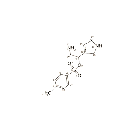 Cc1ccc(S(=O)(=O)OC(CN)C2=CSNC2)cc1